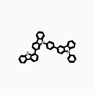 c1ccc(-n2c3ccccc3c3cc(-c4ccc(-n5c6ccccc6c6ccc(-c7cccc8c7sc7ccccc78)cc65)cc4)ccc32)cc1